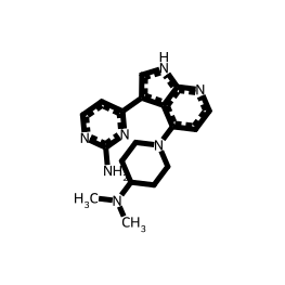 CN(C)C1CCN(c2ccnc3[nH]cc(-c4ccnc(N)n4)c23)CC1